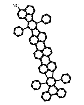 N#Cc1ccc2c3c(-c4ccccc4)c4c5ccc6c7ccc8c9ccc%10c%11c(ccc(c%12ccc(c%13ccc(c4c(-c4ccccc4)c3c3cccc1c32)c5c%136)c7c%128)c%119)-c1c-%10c(-c2ccccc2)c2c3ccccc3c3ccccc3c2c1-c1ccccc1